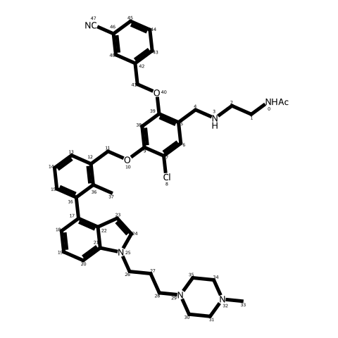 CC(=O)NCCNCc1cc(Cl)c(OCc2cccc(-c3cccc4c3ccn4CCCN3CCN(C)CC3)c2C)cc1OCc1cccc(C#N)c1